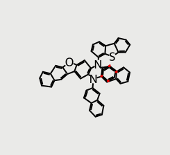 c1ccc(N(c2cc3oc4cc5ccccc5cc4c3cc2N(c2ccc3ccccc3c2)c2ccc3ccccc3c2)c2cccc3c2sc2ccccc23)cc1